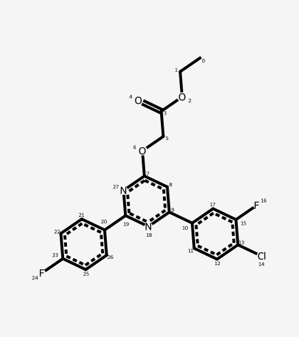 CCOC(=O)COc1cc(-c2ccc(Cl)c(F)c2)nc(-c2ccc(F)cc2)n1